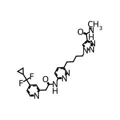 CNC(=O)c1cn(CCCCc2ccc(NC(=O)Cc3cc(C(F)(F)C4CC4)ccn3)nn2)nn1